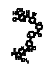 CNc1nc(Nc2ccc(C3CN(C(=O)N4CCOC(c5ccc(Nc6ncc(C(F)(F)F)c(NC)n6)c(Cl)c5)C4)CCO3)cc2Br)ncc1Cl